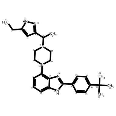 CCc1cc(C(C)N2CCN(c3cccc4[nH]c(-c5ccc(C(C)(C)C)cc5)nc34)CC2)n[nH]1